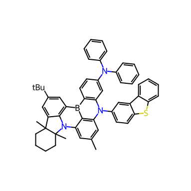 Cc1cc2c3c(c1)N1c4c(cc(C(C)(C)C)cc4C4(C)CCCCC14C)B3c1ccc(N(c3ccccc3)c3ccccc3)cc1N2c1ccc2sc3ccccc3c2c1